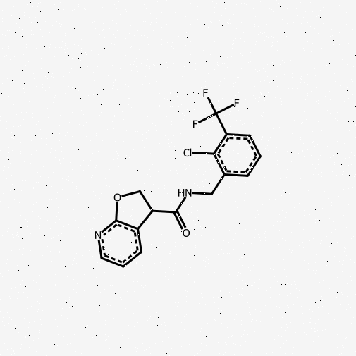 O=C(NCc1cccc(C(F)(F)F)c1Cl)C1COc2ncccc21